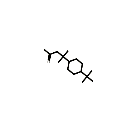 CC(=O)CC(C)(C)C1CCC(C(C)(C)C)CC1